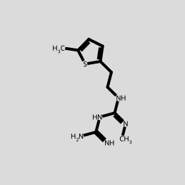 C/N=C(/NCCc1ccc(C)s1)NC(=N)N